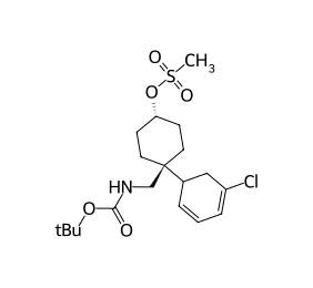 CC(C)(C)OC(=O)NC[C@]1(C2C=CC=C(Cl)C2)CC[C@@H](OS(C)(=O)=O)CC1